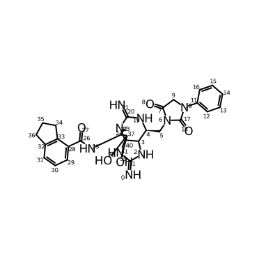 N=C1NC2[C@H](CN3C(=O)CN(c4ccccc4)C3=O)NC(=N)N3CC(NC(=O)c4cccc5c4CCC5)C(O)(O)C23N1